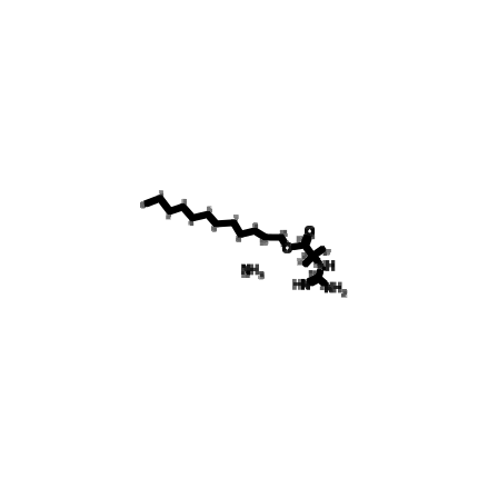 CCCCCCCCCCCCOC(=O)C(C)(C)NC(=N)N.N